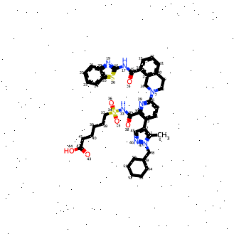 Cc1c(-c2ccc(N3CCc4cccc(C(=O)Nc5nc6ccccc6s5)c4C3)nc2C(=O)NS(=O)(=O)CCCCCC(=O)O)cnn1CC1CCCCC1